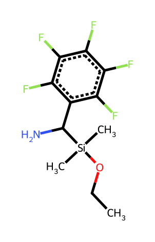 CCO[Si](C)(C)C(N)c1c(F)c(F)c(F)c(F)c1F